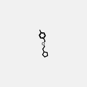 Cc1ccc(COCCC2CCCC2)cc1